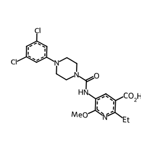 CCc1nc(OC)c(NC(=O)N2CCN(c3cc(Cl)cc(Cl)c3)CC2)cc1C(=O)O